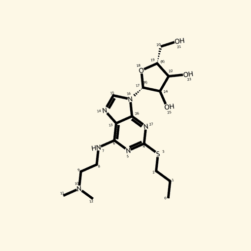 CCCSc1nc(NCCN(C)C)c2ncn([C@@H]3O[C@H](CO)C(O)C3O)c2n1